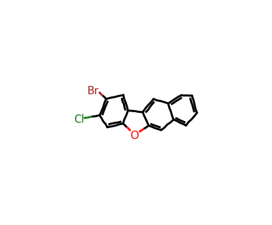 Clc1cc2oc3cc4ccccc4cc3c2cc1Br